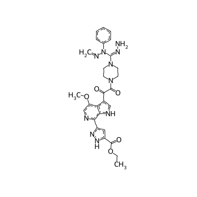 C=NN(/C(=N\N)N1CCN(C(=O)C(=O)c2c[nH]c3c(-c4cc(C(=O)OCC)[nH]n4)ncc(OC)c23)CC1)c1ccccc1